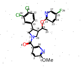 COc1ccc(C(=O)N2CC(c3ccc(Cl)c(Cl)c3)C(C(C)Oc3ccc(F)cn3)C2)cn1